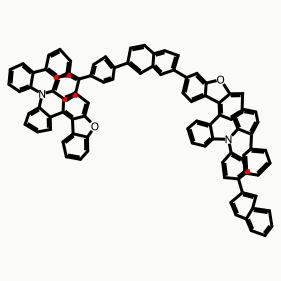 c1ccc(-c2ccccc2N(c2ccc(-c3ccc(-c4ccc5ccc(-c6ccc7c(c6)oc6cccc(-c8ccccc8N(c8ccc(-c9ccc%10ccccc%10c9)cc8)c8ccccc8-c8ccccc8)c67)cc5c4)cc3)cc2)c2ccccc2-c2cccc3oc4ccccc4c23)cc1